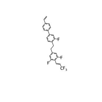 C=Cc1ccc(-c2ccc(CCc3cc(F)c(/C=C/C(F)(F)F)c(F)c3)c(F)c2)cc1